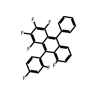 Fc1ccc(-c2c3c(F)cccc3c(-c3ccccc3)c3c(F)c(F)c(F)c(F)c23)c(F)c1